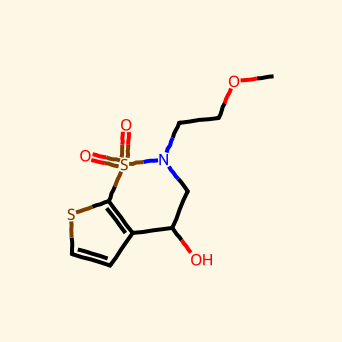 COCCN1CC(O)c2ccsc2S1(=O)=O